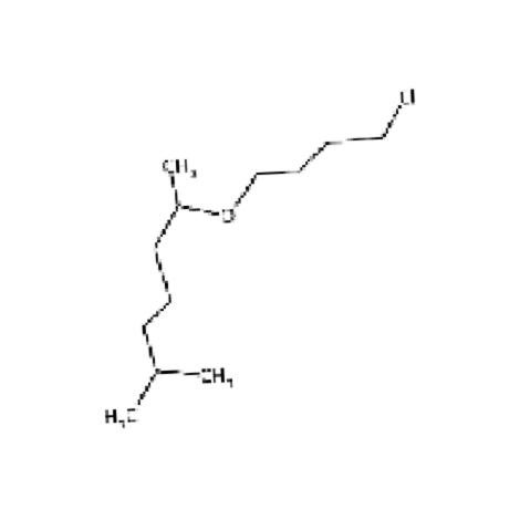 CC(C)CCCC(C)OCCCCCl